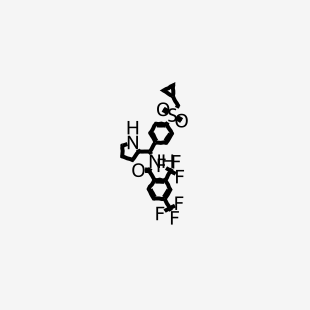 O=C(NC(c1ccc(S(=O)(=O)CC2CC2)cc1)C1CCCN1)c1ccc(C(F)(F)F)cc1C(F)(F)F